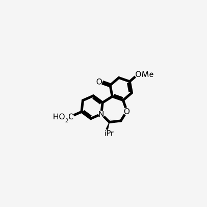 COC1=CC2=C(C(=O)C1)C1=CCC(C(=O)O)=CN1[C@H](C(C)C)CO2